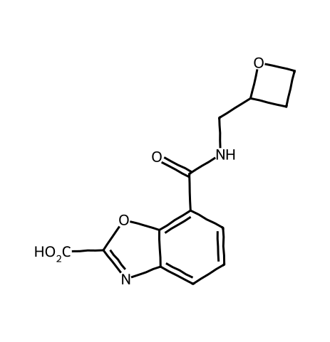 O=C(O)c1nc2cccc(C(=O)NCC3CCO3)c2o1